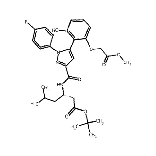 COC(=O)COc1cccc(O)c1-c1cc(C(=O)N[C@H](CC(=O)OC(C)(C)C)CC(C)C)nn1C1=C=C=C(F)C=C1